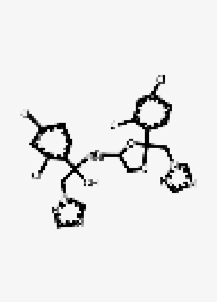 CCCC1COC(Cn2cncn2)(c2ccc(Cl)cc2Cl)O1.CCCCC(O)(Cn1cncn1)c1ccc(Cl)cc1Cl